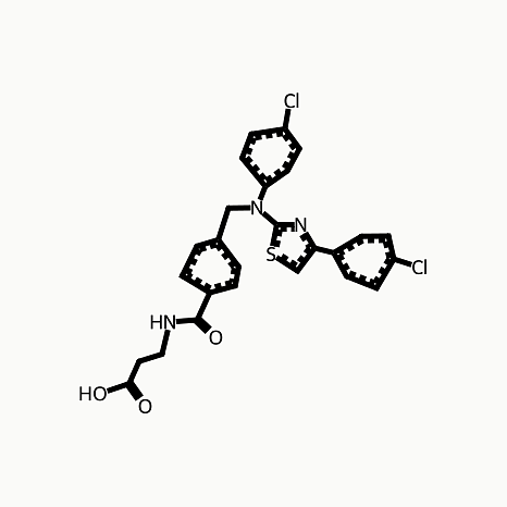 O=C(O)CCNC(=O)c1ccc(CN(c2ccc(Cl)cc2)c2nc(-c3ccc(Cl)cc3)cs2)cc1